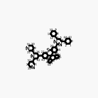 c1ccc(-c2cc(-c3ccccc3)nc(-c3ccc4c(c3)Sc3cc(-c5cc(-c6cccnc6)nc(-c6cccnc6)c5)ccc3C43c4ccccc4-c4ccccc43)n2)cc1